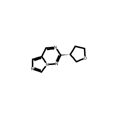 c1ncn2nc([C@@H]3CCOC3)ncc12